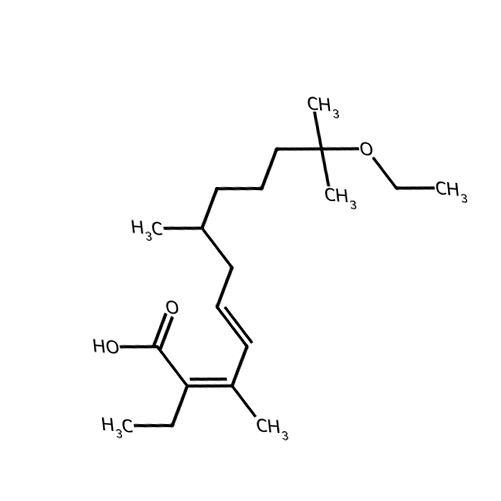 CCOC(C)(C)CCCC(C)CC=CC(C)=C(CC)C(=O)O